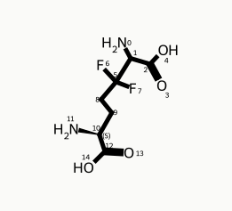 NC(C(=O)O)C(F)(F)CC[C@H](N)C(=O)O